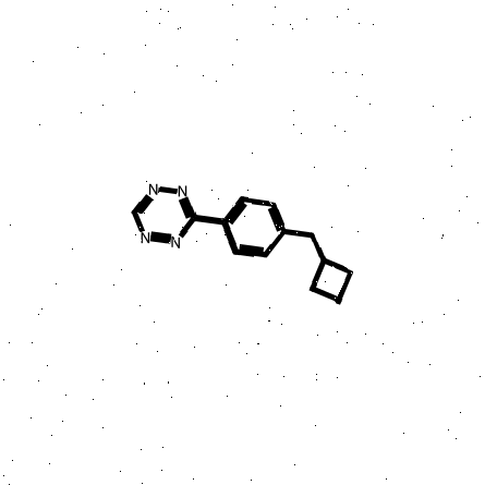 c1nnc(-c2ccc(CC3CCC3)cc2)nn1